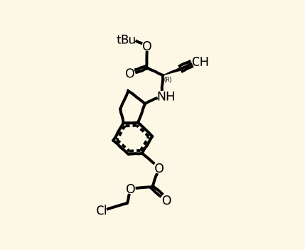 C#C[C@@H](NC1CCc2ccc(OC(=O)OCCl)cc21)C(=O)OC(C)(C)C